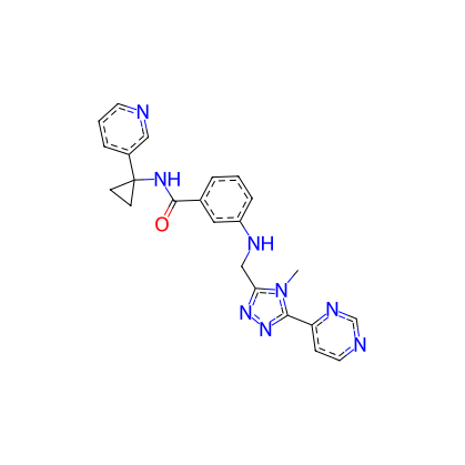 Cn1c(CNc2cccc(C(=O)NC3(c4cccnc4)CC3)c2)nnc1-c1ccncn1